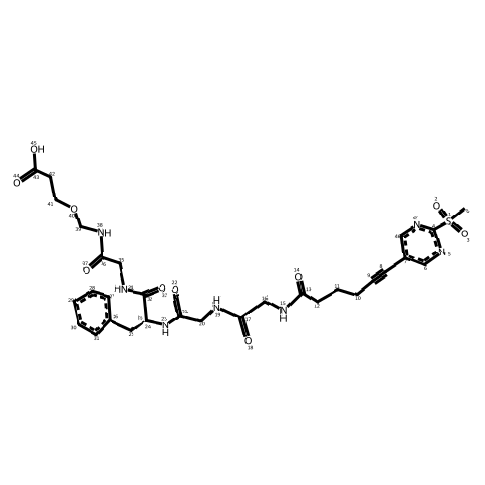 CS(=O)(=O)c1ncc(C#CCCCC(=O)NCC(=O)NCC(=O)N[C@@H](Cc2ccccc2)C(=O)NCC(=O)NCOCCC(=O)O)cn1